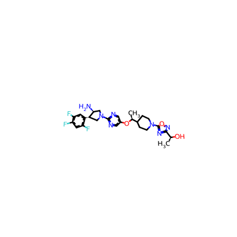 C[C@H](O)c1noc(N2CCC([C@H](C)Oc3cnc(N4C[C@H](c5cc(F)c(F)cc5F)[C@@H](N)C4)nc3)CC2)n1